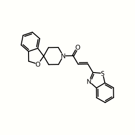 O=C(/C=C/c1nc2ccccc2s1)N1CCC2(CC1)OCc1ccccc12